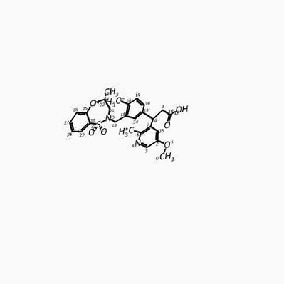 COc1cnc(C)c(C(CC(=O)O)c2ccc(C)c(CN3C[C@@H](C)Oc4ccccc4S3(=O)=O)c2)c1